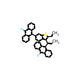 C=Cc1sc2cc(-c3c4ccccc4c(F)c4ccccc34)ccc2c1/C(=C\C)c1c2ccccc2c(F)c2ccccc12